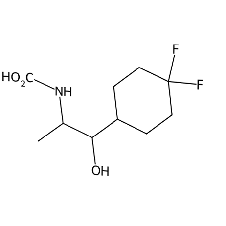 CC(NC(=O)O)C(O)C1CCC(F)(F)CC1